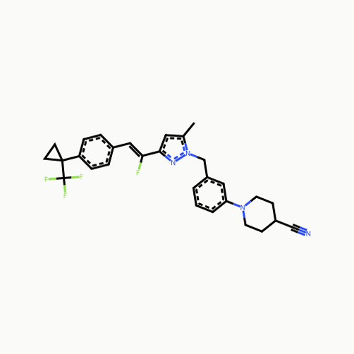 Cc1cc(C(F)=Cc2ccc(C3(C(F)(F)F)CC3)cc2)nn1Cc1cccc(N2CCC(C#N)CC2)c1